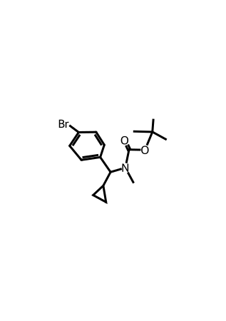 CN(C(=O)OC(C)(C)C)C(c1ccc(Br)cc1)C1CC1